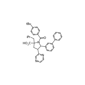 CC(C)CC1(C(=O)O)CC(c2cnccn2)C(c2cccc(-c3ccccc3)c2)N1C(=O)c1ccc(C(C)(C)C)cc1